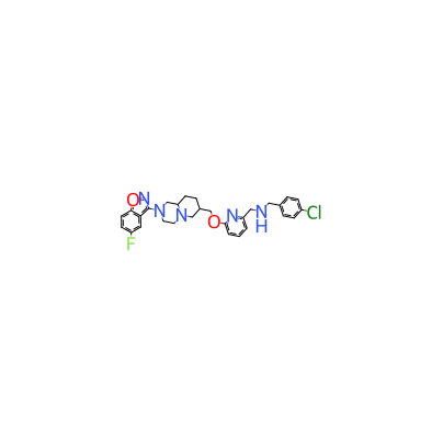 Fc1ccc2onc(N3CCN4CC(COc5cccc(CNCc6ccc(Cl)cc6)n5)CCC4C3)c2c1